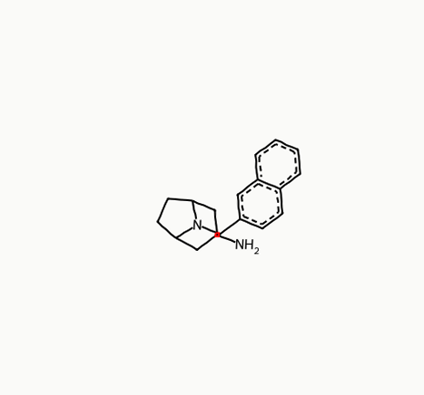 NC1CC2CCC(C1)N2Cc1ccc2ccccc2c1